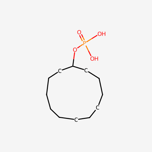 O=P(O)(O)OC1CCCCCCCCCCC1